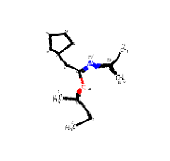 CCC(C)O/C(CC1CCCC1)=N\C(C)C